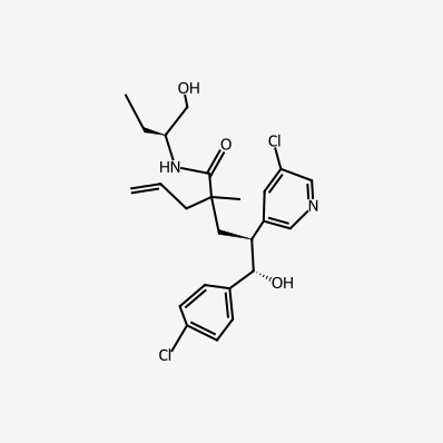 C=CCC(C)(C[C@@H](c1cncc(Cl)c1)[C@H](O)c1ccc(Cl)cc1)C(=O)N[C@@H](CC)CO